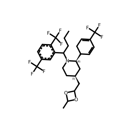 CCCC(c1cc(C(F)(F)F)ccc1C(F)(F)F)N1CC[C@H](CC2OC(C)O2)C[C@@H]1C1C=CC(C(F)(F)F)=CC1